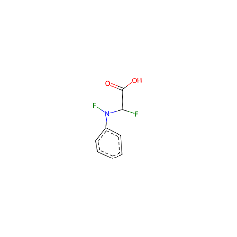 O=C(O)C(F)N(F)c1ccccc1